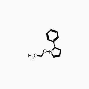 CCON1C=CC[C@@H]1c1ccccc1